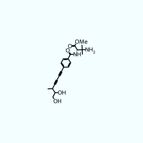 COC(=O)[C@@H](NC(=O)c1ccc(C#CC#CC(C)C(O)CO)cc1)C(C)(C)N